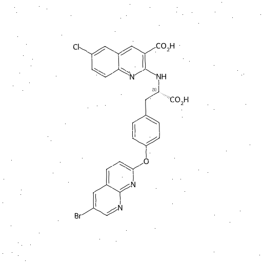 O=C(O)c1cc2cc(Cl)ccc2nc1N[C@@H](Cc1ccc(Oc2ccc3cc(Br)cnc3n2)cc1)C(=O)O